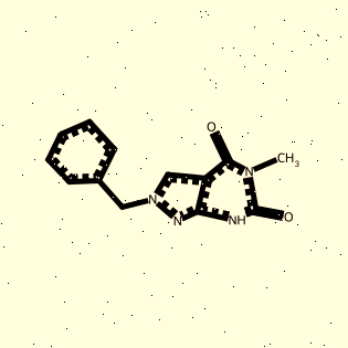 Cn1c(=O)[nH]c2nn(Cc3ccccc3)cc2c1=O